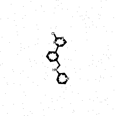 Clc1nccc(-c2cccc(CNc3cccnc3)c2)n1